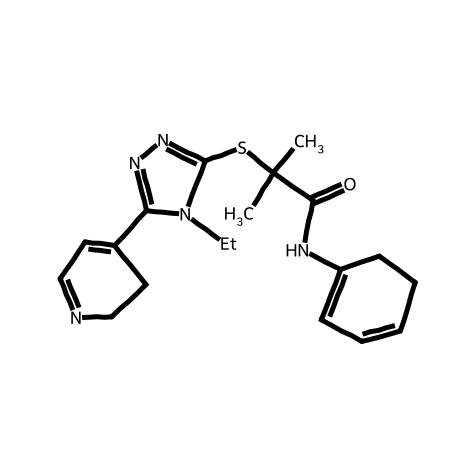 CCn1c(SC(C)(C)C(=O)NC2=CC=CCC2)nnc1C1=CC=NCC1